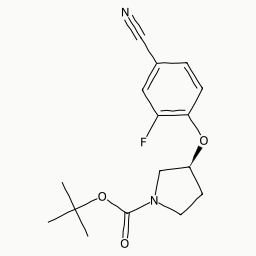 CC(C)(C)OC(=O)N1CC[C@H](Oc2ccc(C#N)cc2F)C1